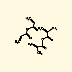 C=C(C)C(=O)OC(=O)C(=C)C.C=CC(=O)OC(=O)C=C